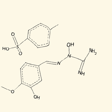 COc1ccc(C=NN(O)C(=N)N)cc1O.Cc1ccc(S(=O)(=O)O)cc1